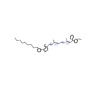 CCCCCCCCCOc1ccc(/C=C/C(C)=C/C=C/C(C)=C/C(=O)OCC)s1